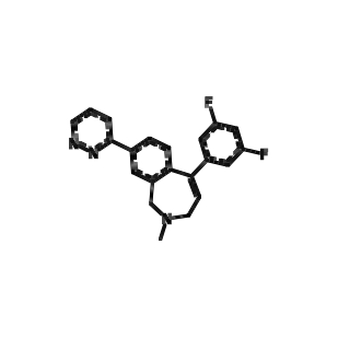 CN1CC=C(c2cc(F)cc(F)c2)c2ccc(-c3cccnn3)cc2C1